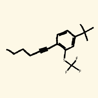 CCCCC#Cc1ccc(C(C)(C)C)cc1SC(F)(F)F